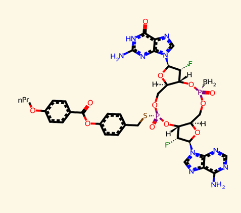 B[P@]1(=O)OC[C@H]2O[C@@H](n3cnc4c(N)ncnc43)[C@H](F)[C@@H]2O[P@](=O)(SCc2ccc(OC(=O)c3ccc(OCCC)cc3)cc2)OC[C@H]2O[C@@H](n3cnc4c(=O)[nH]c(N)nc43)[C@H](F)[C@@H]2O1